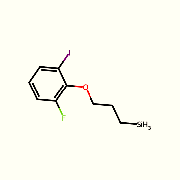 Fc1cccc(I)c1OCCC[SiH3]